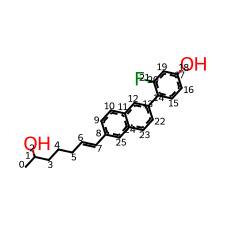 CC(O)CCCC=Cc1ccc2cc(-c3ccc(O)cc3F)ccc2c1